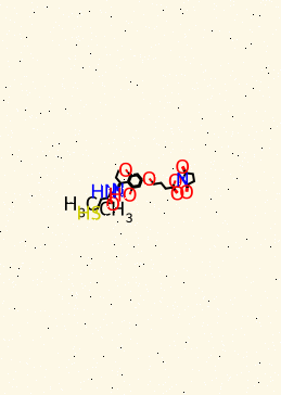 CC(C)(S)CC(=O)N/N=C1\CCOc2cc(OCCCC(=O)ON3C(=O)CCC3=O)cc(O)c21